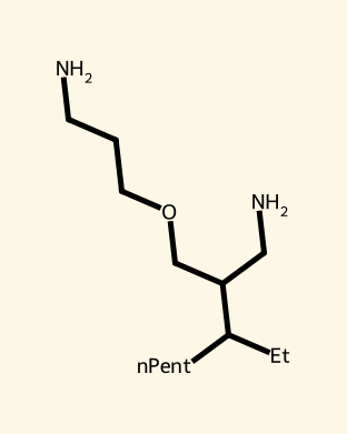 CCCCCC(CC)C(CN)COCCCN